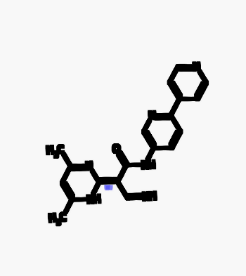 CC1=CC(C)=N/C(=C(/C=N)C(=O)Nc2ccc(-c3ccncc3)nc2)N1